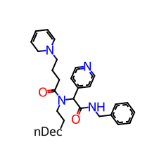 CCCCCCCCCCCCN(C(=O)CCCN1C=CC=CC1)C(C(=O)NCc1ccccc1)c1ccncc1